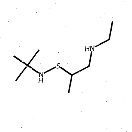 CCNCC(C)SNC(C)(C)C